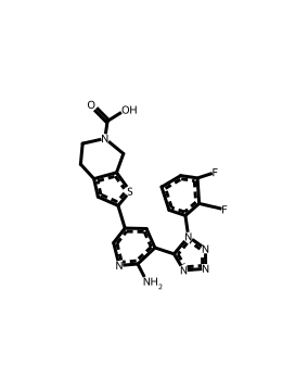 Nc1ncc(-c2cc3c(s2)CN(C(=O)O)CC3)cc1-c1nnnn1-c1cccc(F)c1F